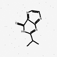 CC(C)c1nc2nccnc2c(=O)[nH]1